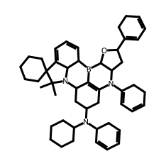 CC1(C)N2C3CC(N(C4C=CC=CC4)C4CCCCC4)CC4=C3B(C3C=CC=C(C32)C12CCCCC2)C1OC(C2=CC=CCC2)CC1N4C1=CC=CCC1